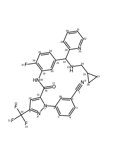 N#Cc1cccc(-n2nc(C(F)(F)F)cc2C(=O)Nc2cc(C(NCC3CC3)c3ccccn3)ccc2F)c1